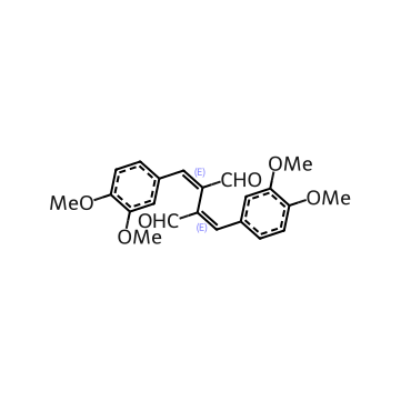 COc1ccc(/C=C(C=O)\C(C=O)=C/c2ccc(OC)c(OC)c2)cc1OC